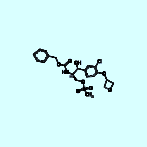 CS(=O)(=O)OC[C@@H](NC(=O)OCc1ccccc1)C(O)c1ccc(OC2COC2)c(Cl)c1